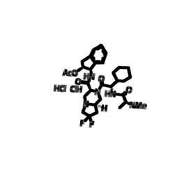 CN[C@@H](C)C(=O)N[C@H](C(=O)N1C[C@H]2CC(F)(F)CN2C[C@H]1C(=O)N[C@@H]1c2ccccc2C[C@@H]1OC(C)=O)C1CCCCC1.Cl.Cl